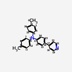 Cc1ccc(N(c2ccc(C)cc2)c2ccc(-c3ccncc3)cc2)cc1